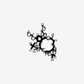 COCOc1cc2c(c(OCOC)c1)C(=O)O[C@@H](C)C/C=C/[C@H]1OC(C)(C)O[C@H]1CCC(O[Si](C)(C)C(C)(C)C)C2